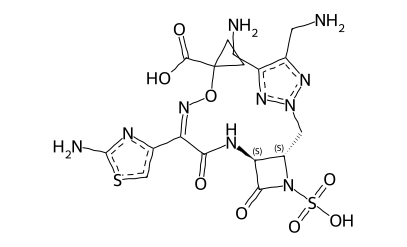 NCc1nn(C[C@H]2[C@H](NC(=O)C(=NOC3(C(=O)O)CC3)c3csc(N)n3)C(=O)N2S(=O)(=O)O)nc1CN